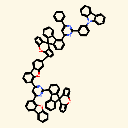 c1ccc(-c2cc(-c3cccc4c3-c3ccccc3C43c4ccccc4Oc4c(-c5ccc6c(c5)oc5c(-c7cc(-c8cccc9c8oc8ccccc89)nc(-c8cccc9c8-c8ccccc8C98c9ccccc9Oc9ccccc98)n7)cccc56)cccc43)nc(-c3cccc(-n4c5ccccc5c5ccccc54)c3)n2)cc1